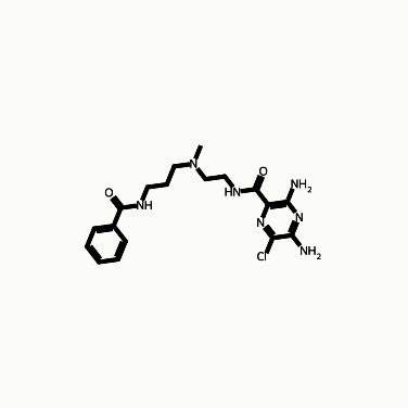 CN(CCCNC(=O)c1ccccc1)CCNC(=O)c1nc(Cl)c(N)nc1N